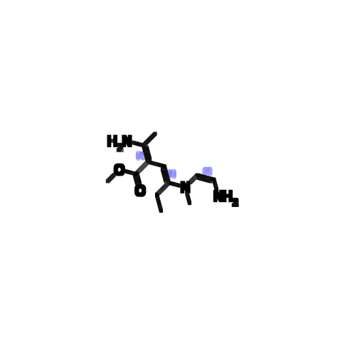 CC/C(=C\C(C(=O)OC)=C(/C)N)N(C)/C=C\N